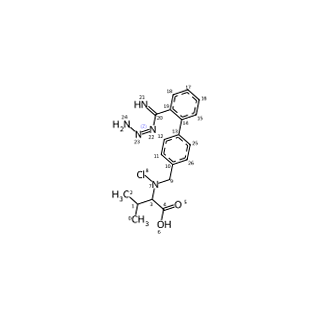 CC(C)C(C(=O)O)N(Cl)Cc1ccc(-c2ccccc2C(=N)/N=N\N)cc1